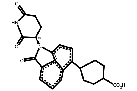 O=C1CC[C@@H](N2C(=O)c3cccc4c(C5CCC(C(=O)O)CC5)ccc2c34)C(=O)N1